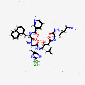 CC(C)C[C@H](NC(=O)[C@H](Cc1c[nH]cn1)N(C)C(=O)[C@H](Cc1cccc2ccccc12)NC(=O)c1cccnc1)[C@@H](O)CC(=O)N[C@@H](CCCCN)C(N)=O.Cl.Cl